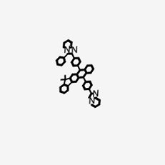 CC1(C)c2ccccc2-c2cc3c(-c4ccc(-c5cn6ccccc6n5)cc4)c4ccccc4c(-c4ccc(-c5nc6ccccn6c5-c5ccccc5)cc4)c3cc21